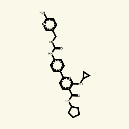 Nc1ccc(CNC(=O)Nc2ccc(-c3ccc(C(=O)NC4CCCC4)c(NC4CC4)n3)cc2)cn1